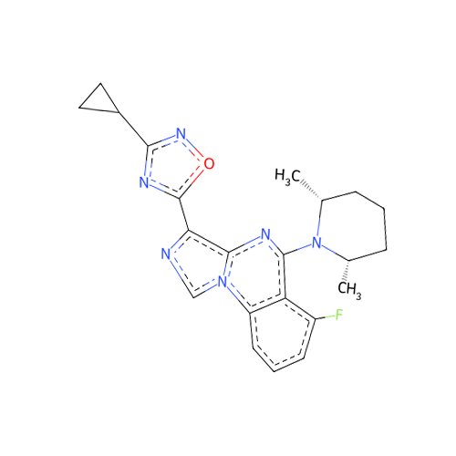 C[C@@H]1CCC[C@H](C)N1c1nc2c(-c3nc(C4CC4)no3)ncn2c2cccc(F)c12